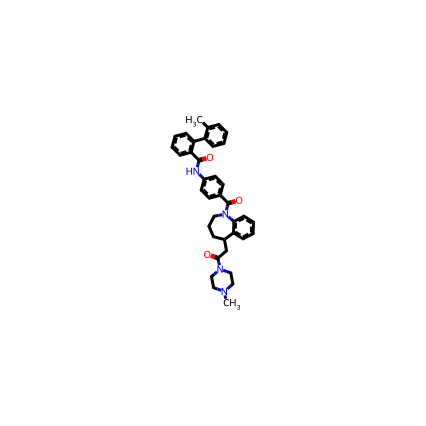 Cc1ccccc1-c1ccccc1C(=O)Nc1ccc(C(=O)N2CCCC(CC(=O)N3CCN(C)CC3)c3ccccc32)cc1